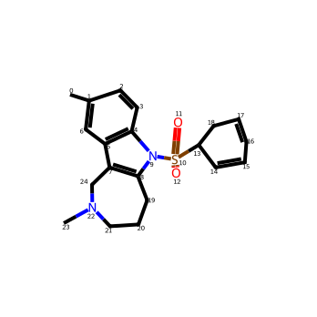 Cc1ccc2c(c1)c1c(n2S(=O)(=O)C2C=CC=CC2)CCCN(C)C1